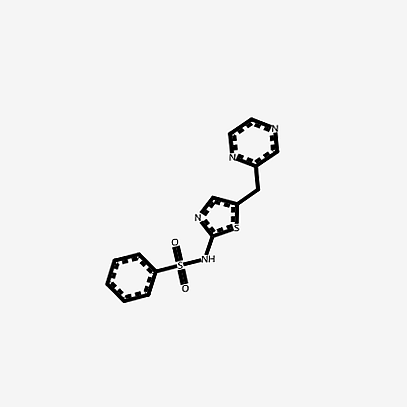 O=S(=O)(Nc1ncc(Cc2cnccn2)s1)c1ccccc1